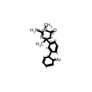 CC(=O)C1C=CC=CC1c1cccc(C2(C)CC(=O)N(C)C(N)=N2)c1